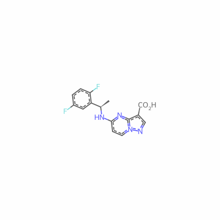 C[C@@H](Nc1ccn2ncc(C(=O)O)c2n1)c1cc(F)ccc1F